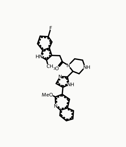 COc1nc2ccccc2cc1-c1cnc(C2CNCCN2C(=O)Cc2c(C)[nH]c3ccc(F)cc23)[nH]1